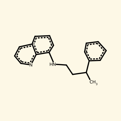 CC(CCNc1cccc2cccnc12)c1ccccc1